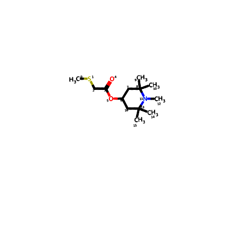 CSCC(=O)OC1CC(C)(C)N(C)C(C)(C)C1